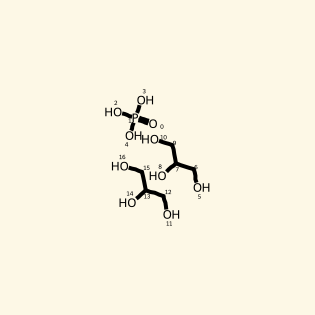 O=P(O)(O)O.OCC(O)CO.OCC(O)CO